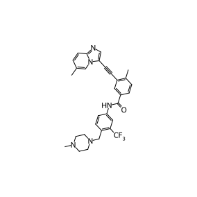 Cc1ccc2ncc(C#Cc3cc(C(=O)Nc4ccc(CN5CCN(C)CC5)c(C(F)(F)F)c4)ccc3C)n2c1